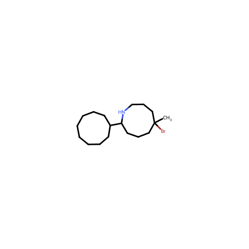 CC1(Br)CCCNC(C2CCCCCCCC2)CCC1